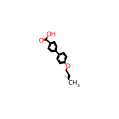 C/C=C/COc1ccc(-c2ccc(C(=O)O)cc2)cc1